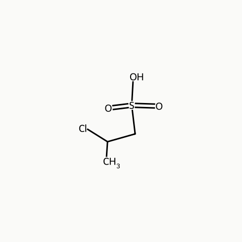 CC(Cl)CS(=O)(=O)O